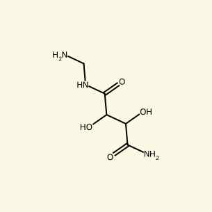 NCNC(=O)C(O)C(O)C(N)=O